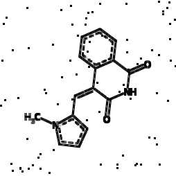 Cn1cccc1C=C1C(=O)NC(=O)c2ccccc21